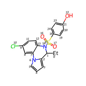 CCC1c2cccn2-c2cc(Cl)ccc2N1S(=O)(=O)c1ccc(O)cc1